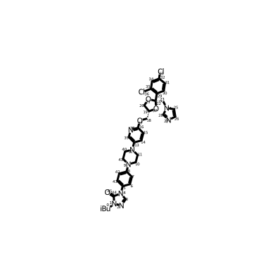 CCC(C)n1ncn(-c2ccc(N3CCN(c4ccc(OC[C@@H]5CO[C@@](Cn6ccnc6)(c6ccc(Cl)cc6Cl)O5)nc4)CC3)cc2)c1=O